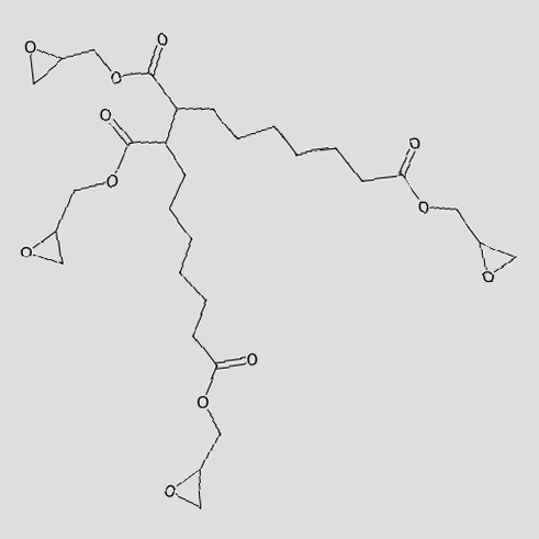 O=C(CCCCCCC(C(=O)OCC1CO1)C(CCCCCCC(=O)OCC1CO1)C(=O)OCC1CO1)OCC1CO1